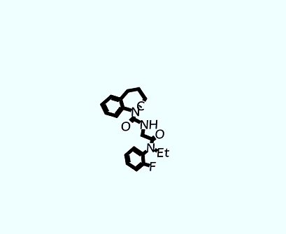 CCN(C(=O)CNC(=O)N1CCCCc2ccccc21)c1ccccc1F